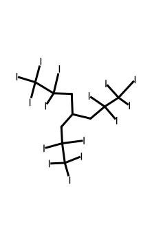 IC(I)(I)C(I)(I)CC(CC(I)(I)C(I)(I)I)CC(I)(I)C(I)(I)I